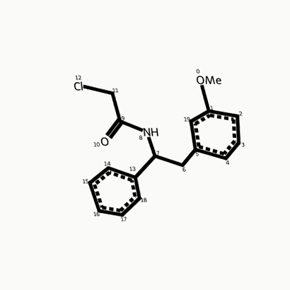 COc1cccc(CC(NC(=O)CCl)c2ccccc2)c1